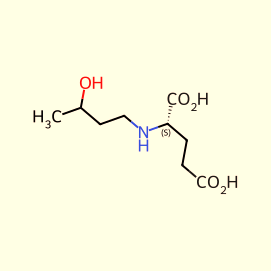 CC(O)CCN[C@@H](CCC(=O)O)C(=O)O